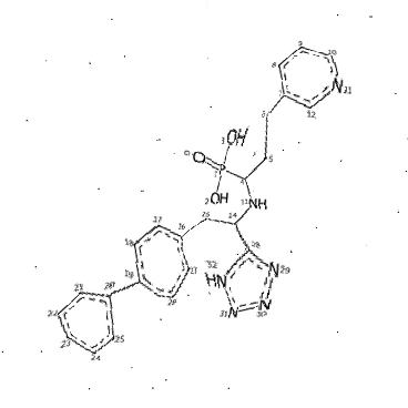 O=P(O)(O)C(CCc1cccnc1)NC(Cc1ccc(-c2ccccc2)cc1)c1nnn[nH]1